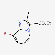 CCOC(=O)c1c(C)nc2c(Br)cccn12